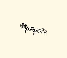 CCN(CC)C[C@@H](O)COc1cc2nccc(Oc3ccc(NC(=O)NC4CC4)c(CI)c3)c2cc1C#N